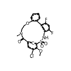 COc1c(Cl)cc2cc1S(=O)(=O)Nc1cc(c(F)cc1F)-c1ccccc1OCCN(C)C2=O